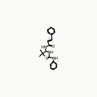 CC(C)(C)C(NC(=O)/C=C/c1ccccc1)NC(=S)Nc1ccccc1